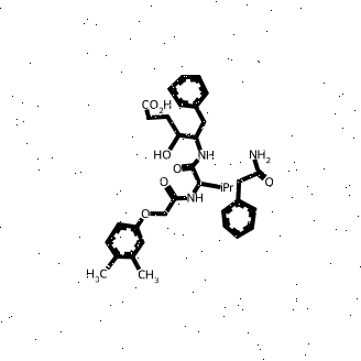 Cc1ccc(OCC(=O)NC(C(=O)NC(Cc2ccccc2)C(O)CCC(=O)O)C(C)C)cc1C.NC(=O)Cc1ccccc1